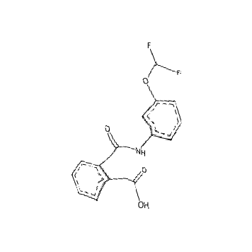 O=C(O)c1ccccc1C(=O)Nc1cccc(OC(F)F)c1